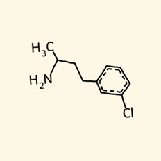 CC(N)CCc1cccc(Cl)c1